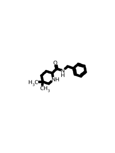 CC1(C)CCC(C(=O)NCc2ccccc2)NC1